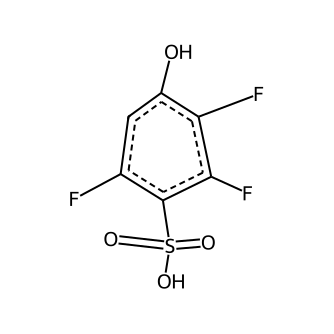 O=S(=O)(O)c1c(F)cc(O)c(F)c1F